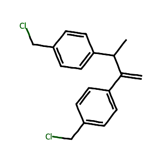 C=C(c1ccc(CCl)cc1)C(C)c1ccc(CCl)cc1